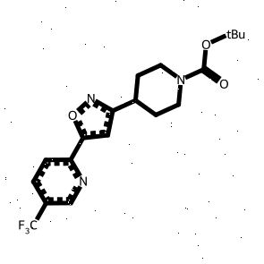 CC(C)(C)OC(=O)N1CCC(c2cc(-c3ccc(C(F)(F)F)cn3)on2)CC1